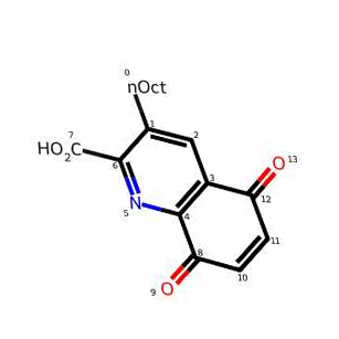 CCCCCCCCc1cc2c(nc1C(=O)O)C(=O)C=CC2=O